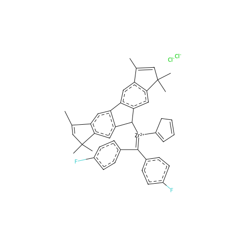 CC1=CC(C)(C)c2cc3c(cc21)-c1cc2c(cc1[CH]3[Zr+2]([C]1=CC=CC1)=[C](c1ccc(F)cc1)c1ccc(F)cc1)C(C)(C)C=C2C.[Cl-].[Cl-]